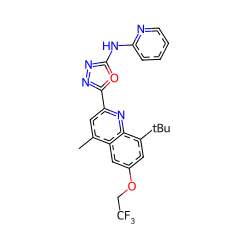 Cc1cc(-c2nnc(Nc3ccccn3)o2)nc2c(C(C)(C)C)cc(OCC(F)(F)F)cc12